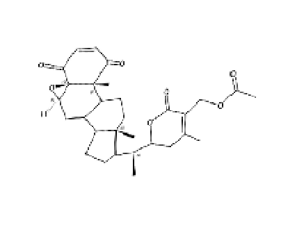 CC(=O)OCC1=C(C)CC([C@@H](C)C2CCC3C4C[C@H]5O[C@]56C(=O)C=CC(=O)[C@]6(C)C4CC[C@@]32C)OC1=O